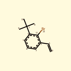 C=[C]c1cccc(C(C)(C)C)c1Br